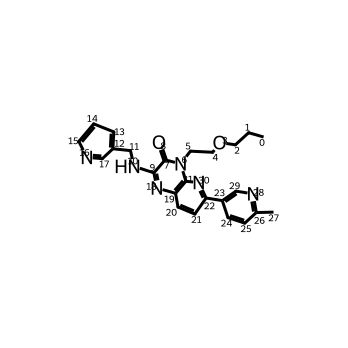 CCCOCCn1c(=O)c(NCc2cccnc2)nc2ccc(-c3ccc(C)nc3)nc21